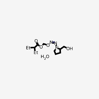 CCC(CC)C(=O)OCO/N=N\N1CCCC1CO.O